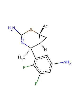 CC(=O)[C@@]12C[C@H]1[C@@](C)(c1cc(N)cc(F)c1F)N=C(N)S2